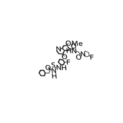 COc1cc2nccc(Oc3ccc(NC(=S)NC(=O)Cc4ccccc4)cc3F)c2cc1C(=O)NCC(=O)N1CCC(F)C1